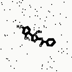 CCCCn1c(-c2ccc(C)cc2C)cs/c1=N\C(=O)c1ccccc1